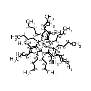 CCCCN(CCCC)[Si](CC[SiH3])(N(CCCC)CCCC)N([Si](CC[SiH3])(N(CCCC)CCCC)N(CCCC)CCCC)[Si](CC[SiH3])(N(CCCC)CCCC)N(CCCC)CCCC